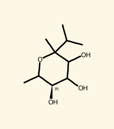 CC1OC(C)(C(C)C)C(O)C(O)[C@H]1O